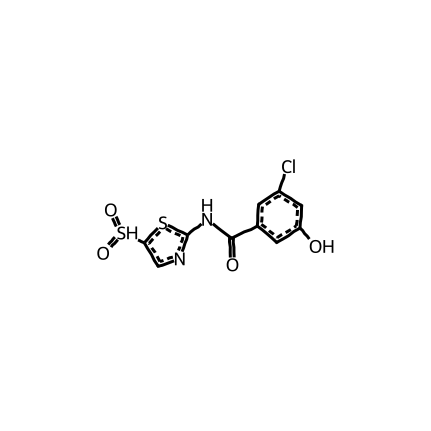 O=C(Nc1ncc([SH](=O)=O)s1)c1cc(O)cc(Cl)c1